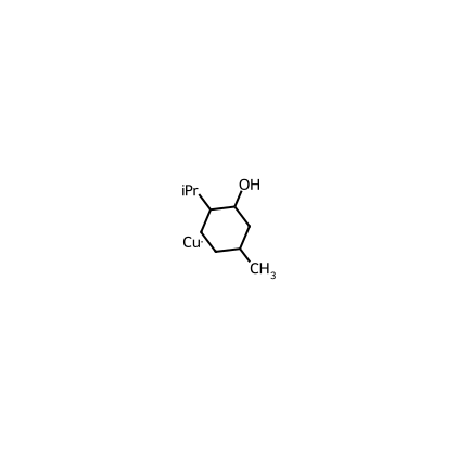 CC1CCC(C(C)C)C(O)C1.[Cu]